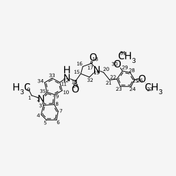 CCn1c2ccccc2c2cc(NC(=O)C3CC(=O)N(CCc4ccc(OC)cc4OC)C3)ccc21